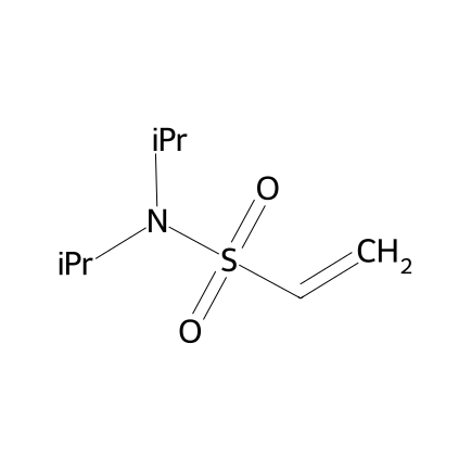 C=CS(=O)(=O)N(C(C)C)C(C)C